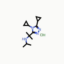 CC(C)NC(C)(C)c1nnc(C2CC2)n1C1CC1.Cl